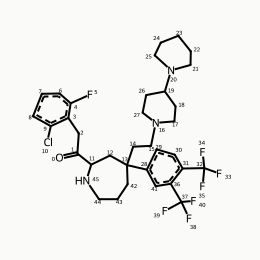 O=C(Cc1c(F)cccc1Cl)C1CC(CCN2CCC(N3CCCCC3)CC2)(c2ccc(C(F)(F)F)c(C(F)(F)F)c2)CCCN1